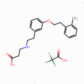 Cc1ccccc1CCOc1cccc(CCNCCC(=O)O)c1.O=C(O)C(F)(F)F